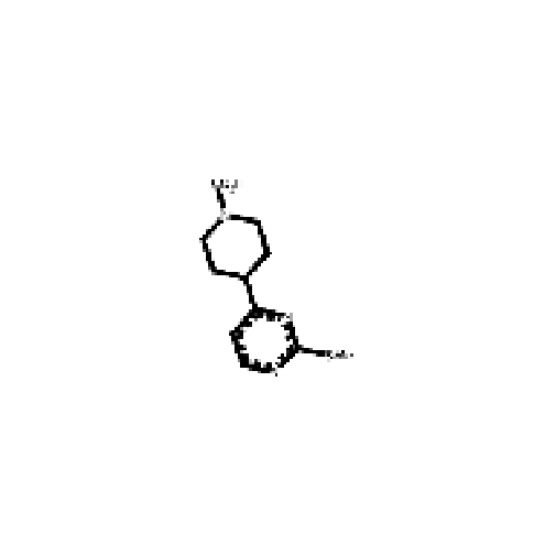 CSc1nccc(C2CCN(C(=O)O)CC2)n1